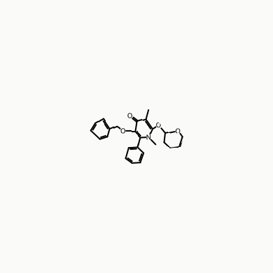 Cc1c(OC2CCCCO2)n(C)c(-c2ccccc2)c(OCc2ccccc2)c1=O